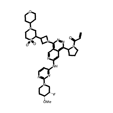 C=CC(=O)N1CCCC1c1nnc(N2CC(C3CN(C4CCOCC4)CCS3(=O)=O)C2)c2cnc(Nc3ccnc(N4CC[C@@H](OC)[C@@H](F)C4)n3)cc12